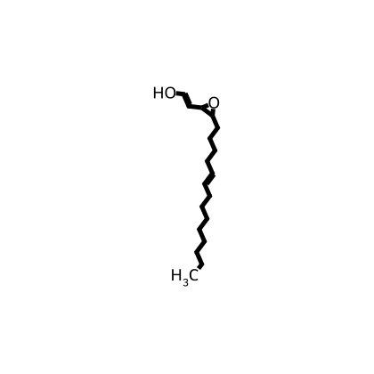 CCCCCCCCC=CCCCCC1OC1C=CO